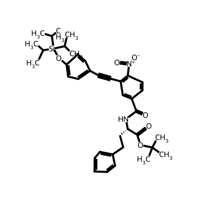 CC(C)[Si](Oc1ccc(C#Cc2cc(C(=O)N[C@@H](CCc3ccccc3)C(=O)OC(C)(C)C)ccc2[N+](=O)[O-])cc1)(C(C)C)C(C)C